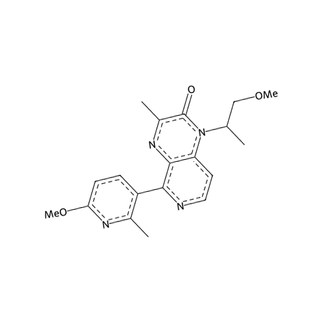 COCC(C)n1c(=O)c(C)nc2c(-c3ccc(OC)nc3C)nccc21